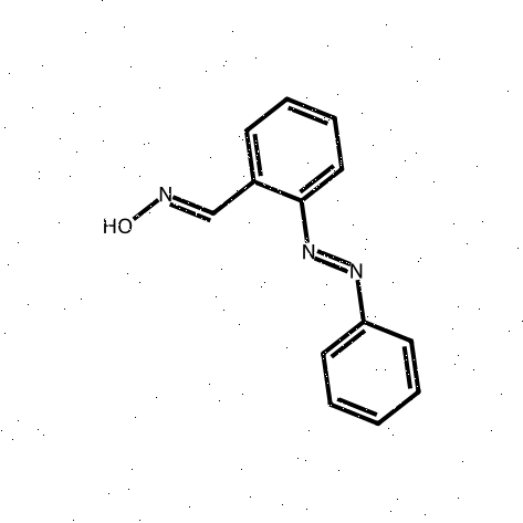 ON=Cc1ccccc1N=Nc1ccccc1